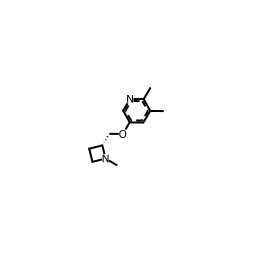 Cc1cc(OC[C@H]2CCN2C)cnc1C